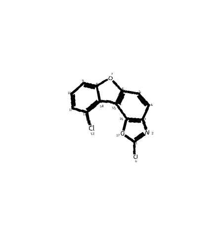 Clc1nc2ccc3oc4cccc(Cl)c4c3c2o1